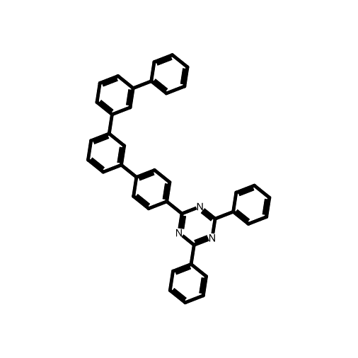 c1ccc(-c2cccc(-c3cccc(-c4ccc(-c5nc(-c6ccccc6)nc(-c6ccccc6)n5)cc4)c3)c2)cc1